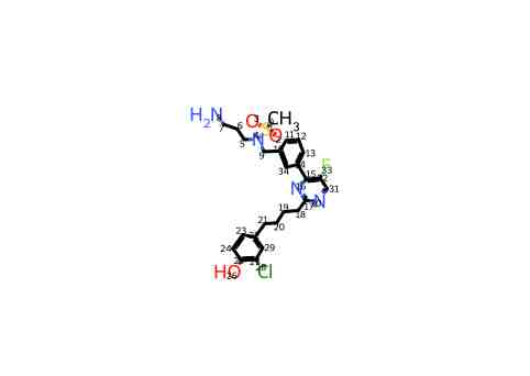 CS(=O)(=O)N(CCCN)Cc1cccc(-c2nc(CCCCc3ccc(O)c(Cl)c3)ncc2F)c1